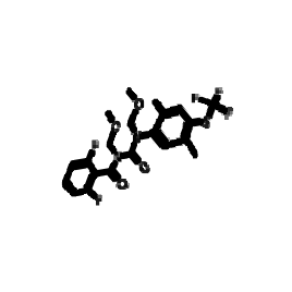 COCN(C(=O)c1c(F)cccc1F)C(=O)N(COC)c1cc(C)c(SC(F)(F)F)cc1C